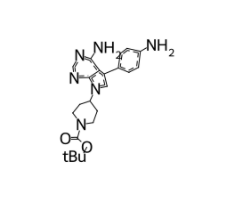 CC(C)(C)OC(=O)N1CCC(n2cc(-c3ccc(N)cc3)c3c(N)ncnc32)CC1